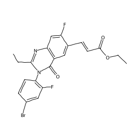 CCOC(=O)C=Cc1cc2c(=O)n(-c3ccc(Br)cc3F)c(CC)nc2cc1F